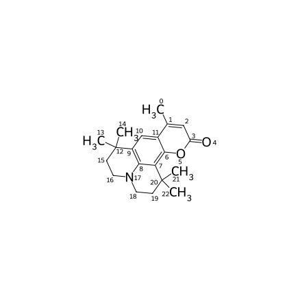 Cc1cc(=O)oc2c3c4c(cc12)C(C)(C)CCN4CCC3(C)C